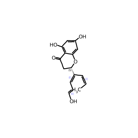 C\C=C/C(=C\C=C\O)[C@@H]1CC(=O)c2c(O)cc(O)cc2O1